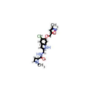 Cc1cc(COc2cc3[nH]c(CNC(=O)C4CCN4C)cc3cc2Cl)on1